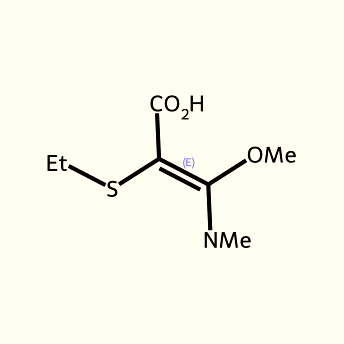 CCS/C(C(=O)O)=C(\NC)OC